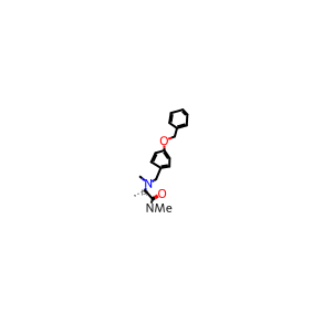 CNC(=O)[C@H](C)N(C)Cc1ccc(OCc2ccccc2)cc1